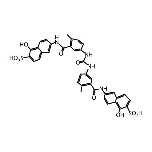 Cc1ccc(NC(=O)Nc2ccc(C)c(C(=O)Nc3ccc4c(O)c(S(=O)(=O)O)ccc4c3)c2)cc1C(=O)Nc1ccc2c(O)c(S(=O)(=O)O)ccc2c1